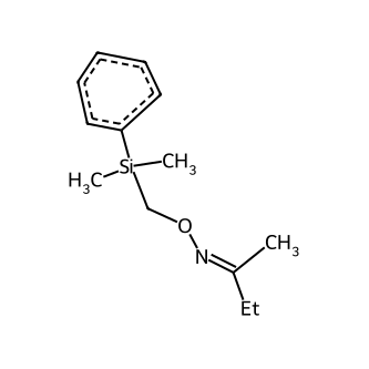 CCC(C)=NOC[Si](C)(C)c1ccccc1